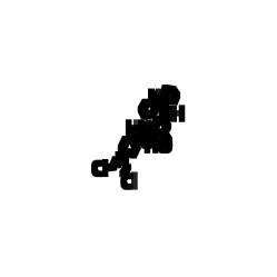 O=C(Nc1cc(CO)cc(Nc2c3ccccc3nc3ccccc23)c1)Oc1ccc(N(CCCl)CCCl)cc1